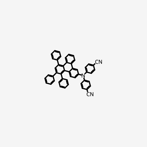 N#Cc1ccc(N(c2ccc(C#N)cc2)c2ccc3c(c2)c2ccccc2c2c(-c4ccccc4)cc(-c4ccccc4)c(-c4ccccc4)c32)cc1